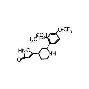 CC(=O)O.O=c1cc([C@@H]2CCN[C@@H](c3ccc(OC(F)(F)F)cc3F)C2)o[nH]1